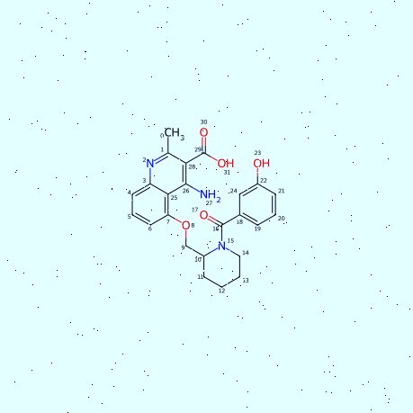 Cc1nc2cccc(OCC3CCCCN3C(=O)c3cccc(O)c3)c2c(N)c1C(=O)O